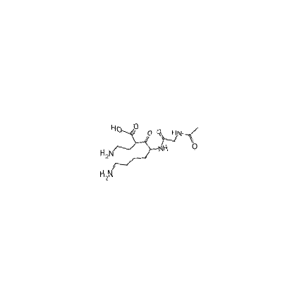 CC(=O)NCC(=O)NC(CCCCN)C(=O)C(CCN)C(=O)O